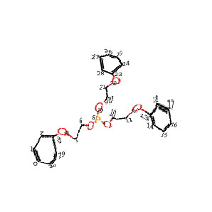 c1ccc(OCCOP(OCCOc2ccccc2)OCCOc2ccccc2)cc1